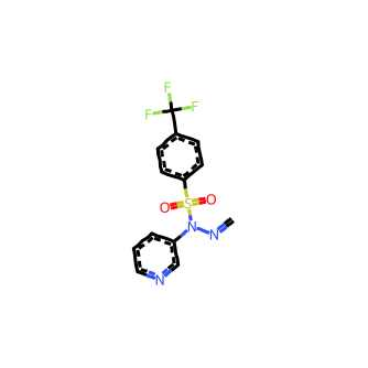 C=NN(c1cccnc1)S(=O)(=O)c1ccc(C(F)(F)F)cc1